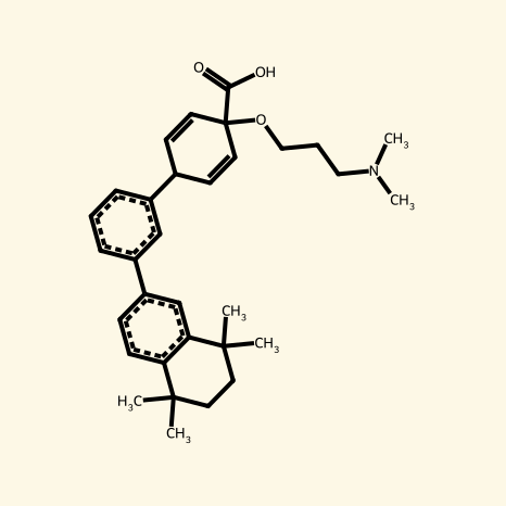 CN(C)CCCOC1(C(=O)O)C=CC(c2cccc(-c3ccc4c(c3)C(C)(C)CCC4(C)C)c2)C=C1